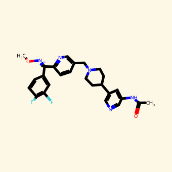 CO/N=C(\c1ccc(F)c(F)c1)c1ccc(CN2CCC(c3cncc(NC(C)=O)c3)CC2)cn1